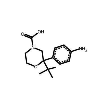 CC(C)(C)C1(c2ccc(N)cc2)CN(C(=O)O)CCO1